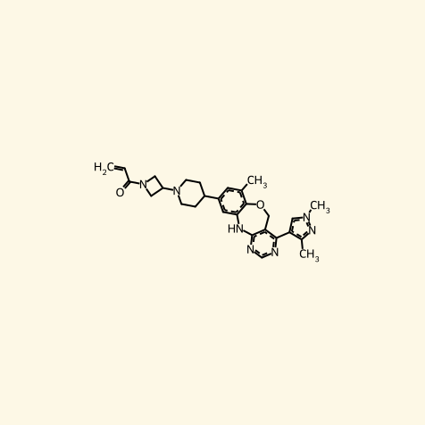 C=CC(=O)N1CC(N2CCC(c3cc(C)c4c(c3)Nc3ncnc(-c5cn(C)nc5C)c3CO4)CC2)C1